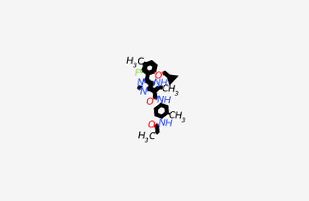 CCC(=O)N[C@@H]1CC[C@@H](NC(=O)c2c(C)[nH]c3c(-c4c(OCC5CC5)ccc(C)c4F)ncnc23)C[C@H]1C